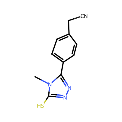 Cn1c(S)nnc1-c1ccc(CC#N)cc1